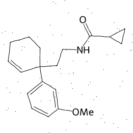 COc1cccc(C2(CCNC(=O)C3CC3)C=CCCC2)c1